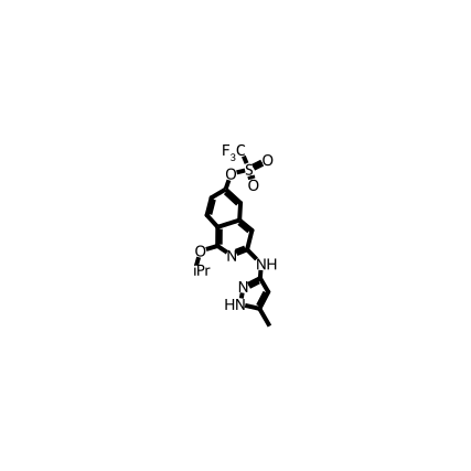 Cc1cc(Nc2cc3cc(OS(=O)(=O)C(F)(F)F)ccc3c(OC(C)C)n2)n[nH]1